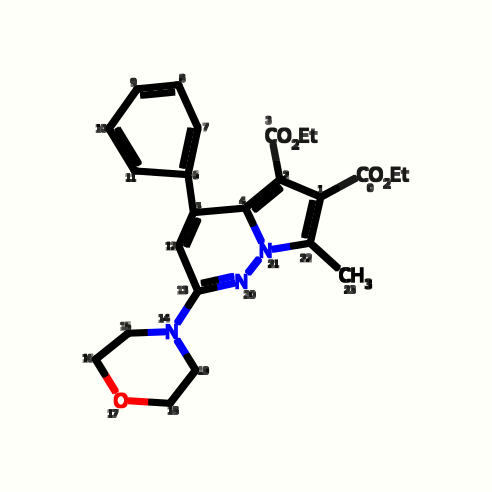 CCOC(=O)c1c(C(=O)OCC)c2c(-c3ccccc3)cc(N3CCOCC3)nn2c1C